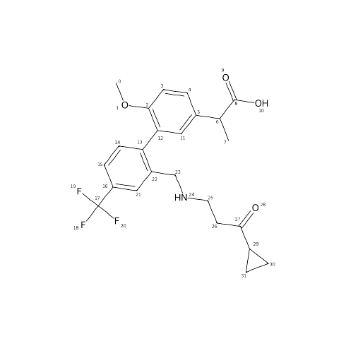 COc1ccc(C(C)C(=O)O)cc1-c1ccc(C(F)(F)F)cc1CNCCC(=O)C1CC1